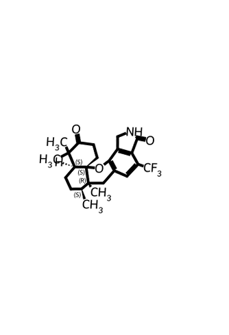 C[C@H]1CC[C@H]2C(C)(C)C(=O)CC[C@]23Oc2c(cc(C(F)(F)F)c4c2CNC4=O)C[C@]13C